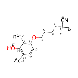 CCCc1c(OCCCCC(C)(C)C#N)ccc(C(C)=O)c1O